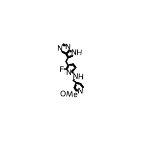 COc1cc(CNc2ccc(Cc3c[nH]c4ncncc34)c(F)n2)ccn1